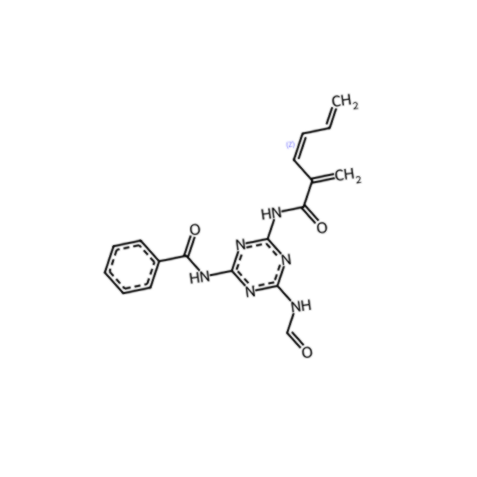 C=C/C=C\C(=C)C(=O)Nc1nc(NC=O)nc(NC(=O)c2ccccc2)n1